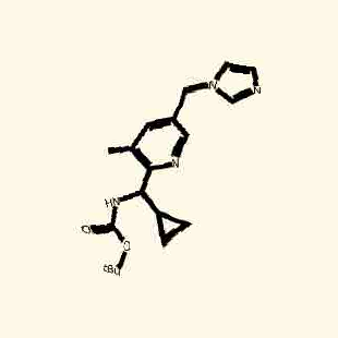 Cc1cc(Cn2ccnc2)cnc1C(NC(=O)OC(C)(C)C)C1CC1